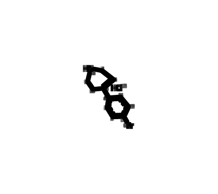 Brc1ccc(C2=CCNCC2)cc1.Cl